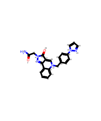 NC(=O)Cn1nc2c3ccccc3n(Cc3ccc(-n4cccn4)cc3)cc-2c1=O